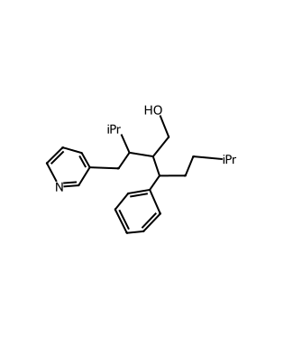 CC(C)CCC(c1ccccc1)C(CO)C(Cc1cccnc1)C(C)C